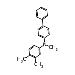 Cc1ccc(N(C)c2ccc(-c3ccccc3)cc2)cc1C